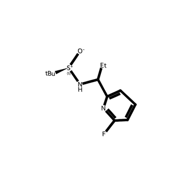 CCC(N[S@+]([O-])C(C)(C)C)c1cccc(F)n1